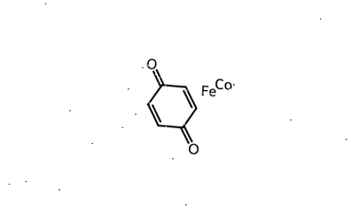 O=C1C=CC(=O)C=C1.[Co].[Fe]